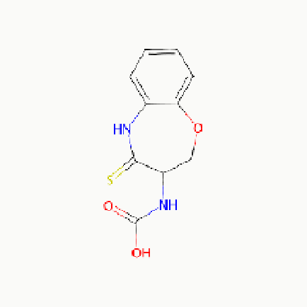 O=C(O)NC1COc2ccccc2NC1=S